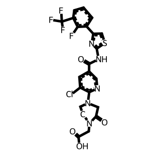 O=C(O)CN1CCN(c2ncc(C(=O)Nc3nc(-c4cccc(C(F)(F)F)c4F)cs3)cc2Cl)CC1=O